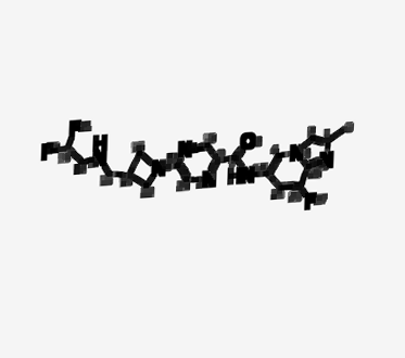 Cc1cn2cc(NC(=O)c3cnc(N4CC(CNCC(F)F)C4)cn3)cc(F)c2n1